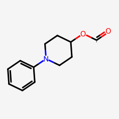 O=[C]OC1CCN(c2ccccc2)CC1